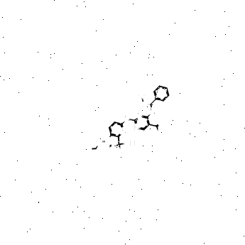 CCOB1OC(C)(C)c2nc(Nc3ncc(C(=O)O)c(N[C@H](CO)c4ccccc4)n3)ccc21